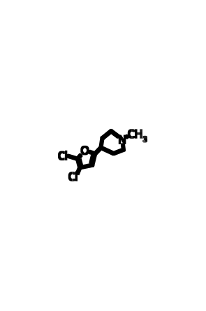 CN1CCC(c2cc(Cl)c(Cl)o2)CC1